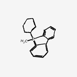 C[P]1(C2CCCCC2)c2ccccc2-c2ccccc21